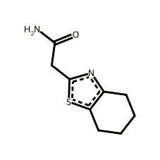 NC(=O)Cc1nc2c(s1)CCCC2